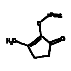 CCCCCOC1=C(C)CCC1=O